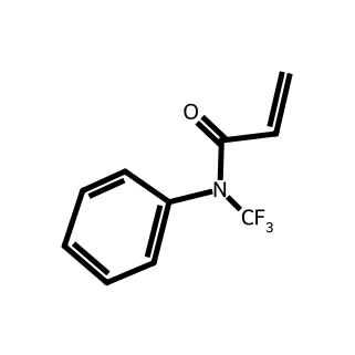 C=CC(=O)N(c1ccccc1)C(F)(F)F